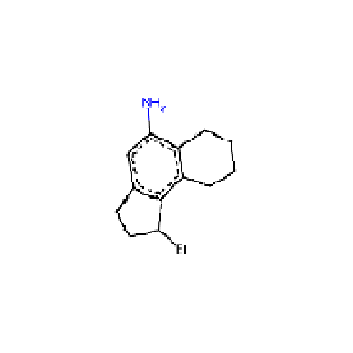 CCC1CCc2cc(N)c3c(c21)CCCC3